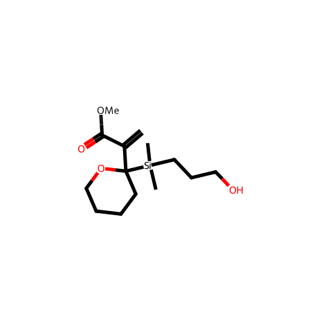 C=C(C(=O)OC)C1([Si](C)(C)CCCO)CCCCO1